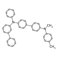 Cc1ccc(N(C)c2ccc(-c3ccc(N(c4ccccc4)c4cccc(-c5ccccc5)c4)cc3)cc2)cc1